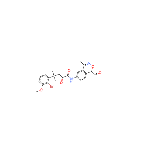 COc1cccc(C(C)(C)CC(=O)C(=O)Nc2ccc3c(c2)C(C)=NOC3C=O)c1Br